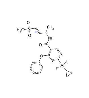 CC(/C=C/S(C)(=O)=O)NC(=O)c1cnc(C(F)(F)C2CC2)nc1Oc1ccccc1